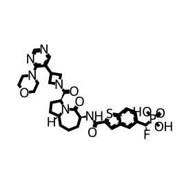 O=C(N[C@H]1CCC[C@H]2CC[C@@H](C(=O)N3CC(c4cncnc4N4CCOCC4)C3)N2C1=O)c1cc2cc([C@@H](F)P(=O)(O)O)ccc2s1